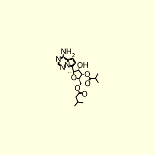 CC(C)CC(=O)OC[C@H]1O[C@@](C)(c2ccc3c(N)ncnn23)[C@H](O)[C@@H]1OC(=O)C(C)C